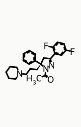 CC(=O)N1N=C(c2cc(F)ccc2F)C[C@@]1(CCCN1CCCCC1)c1ccccc1